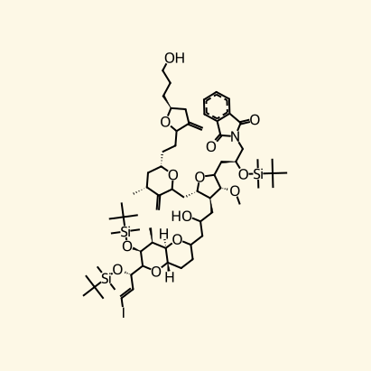 C=C1C[C@H](CCCO)OC1CC[C@H]1C[C@@H](C)C(=C)C(C[C@@H]2OC(C[C@@H](CN3C(=O)c4ccccc4C3=O)O[Si](C)(C)C(C)(C)C)[C@H](OC)[C@H]2CC(O)CC2CC[C@@H]3OC([C@H](/C=C/I)O[Si](C)(C)C(C)(C)C)[C@@H](O[Si](C)(C)C(C)(C)C)[C@@H](C)[C@H]3O2)O1